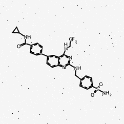 NS(=O)(=O)c1ccc(CNc2nc(NCC(F)(F)F)c3cc(-c4ccc(C(=O)NC5CC5)cc4)ccc3n2)cc1